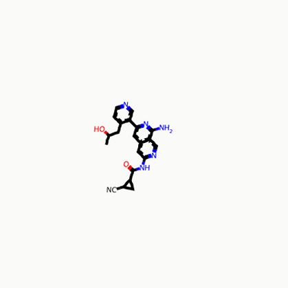 CC(O)Cc1ccncc1-c1cc2cc(NC(=O)C3CC3C#N)ncc2c(N)n1